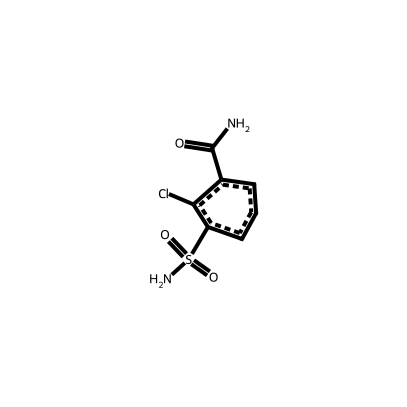 NC(=O)c1cccc(S(N)(=O)=O)c1Cl